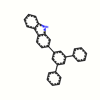 c1ccc(-c2cc(-c3ccccc3)cc(-c3ccc4c(c3)[nH]c3ccccc34)c2)cc1